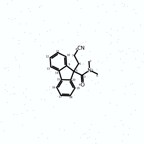 CN(C)C(=O)C1(CCC#N)c2ccccc2-c2ccccc21